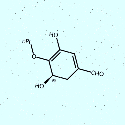 CCCOC1=C(O)C=C(C=O)C[C@H]1O